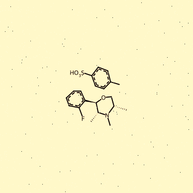 C[C@@H]1[C@@H](c2ccccc2F)OC[C@H](C)N1C.Cc1ccc(S(=O)(=O)O)cc1